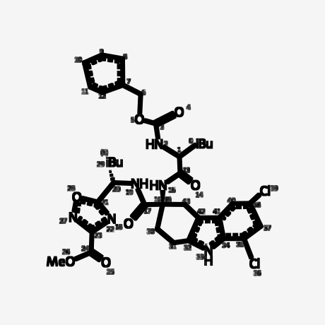 CCC(C)C(NC(=O)OCc1ccccc1)C(=O)N[C@]1(C(=O)NC(c2nc(C(=O)OC)no2)[C@@H](C)CC)CCc2[nH]c3c(Cl)cc(Cl)cc3c2C1